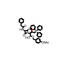 COc1ccc(COC(O)C2=C(C=P(c3ccccc3)(c3ccccc3)c3ccccc3)CSC3C(NC(=O)Cc4ccccc4)C(=O)N23)cc1